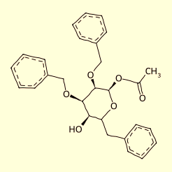 CC(=O)O[C@H]1OC(Cc2ccccc2)[C@@H](O)[C@@H](OCc2ccccc2)[C@H]1OCc1ccccc1